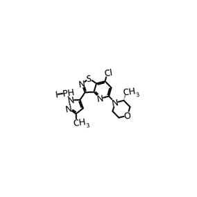 Cc1cc(-c2nsc3c(Cl)cc(N4CCOC[C@H]4C)nc23)n(PI)n1